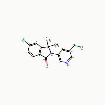 CC1(C)c2cc(Cl)ccc2C(=O)N1c1cncc(CCl)c1